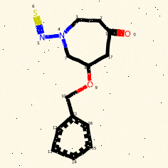 O=C1CCN(N=S)CC(OCc2ccccc2)C1